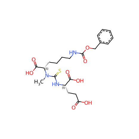 CN(C(=S)N[C@@H](CCC(=O)O)C(=O)O)[C@@H](CCCCNC(=O)OCc1ccccc1)C(=O)O